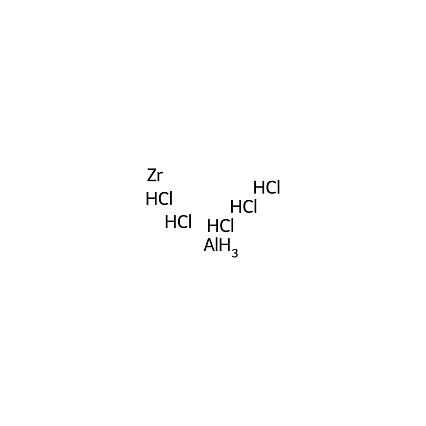 Cl.Cl.Cl.Cl.Cl.[AlH3].[Zr]